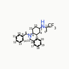 C[C@@H](NC1CCC(N(Cc2ccccc2)Cc2ccccc2)CC1)C(F)(F)F